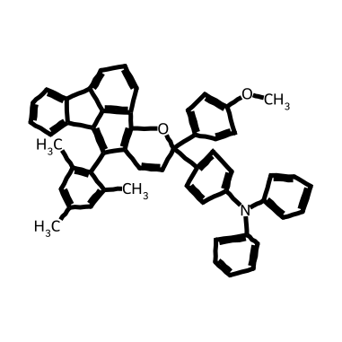 COc1ccc(C2(c3ccc(N(c4ccccc4)c4ccccc4)cc3)C=Cc3c(-c4c(C)cc(C)cc4C)c4c5c(cccc5c3O2)-c2ccccc2-4)cc1